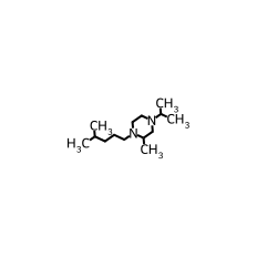 CC(C)CCCN1CCN(C(C)C)CC1C